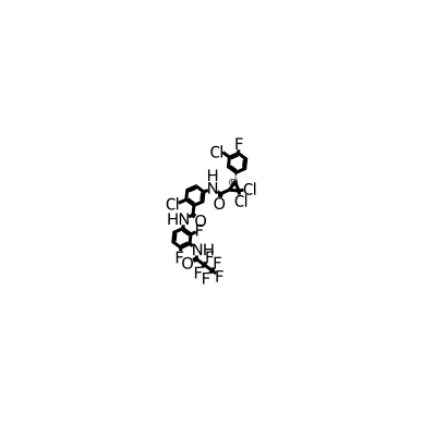 O=C(Nc1ccc(F)c(NC(=O)C(F)(F)C(F)(F)F)c1F)c1cc(NC(=O)C2[C@H](c3ccc(F)c(Cl)c3)C2(Cl)Cl)ccc1Cl